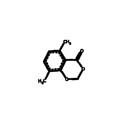 Cc1ccc(C)c2c1OCOC2=O